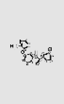 Cc1ncccc1Oc1cccc(NC(=O)c2cccc(Cl)c2)c1